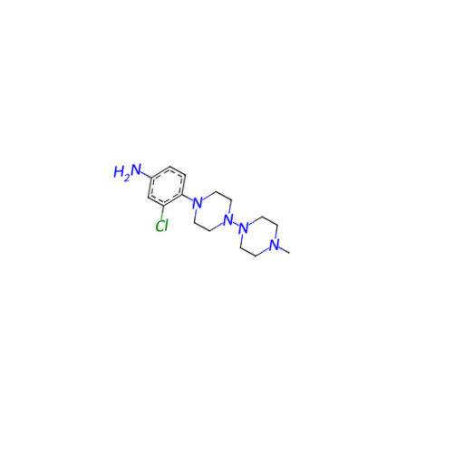 CN1CCN(N2CCN(c3ccc(N)cc3Cl)CC2)CC1